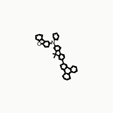 CC1(C)c2cc(-c3ccc4c5ccccc5c5ccccc5c4c3)ccc2-c2ccc(N(c3ccccc3)c3ccc4oc5ccccc5c4c3)cc21